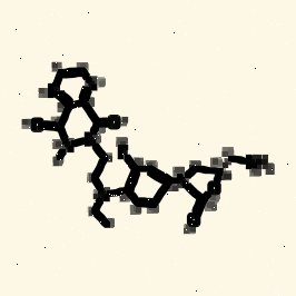 CCN(CCn1c(=O)c2nccnc2c(=O)n1C)c1ccc(N2C[C@H](CN)OC2=O)cc1F